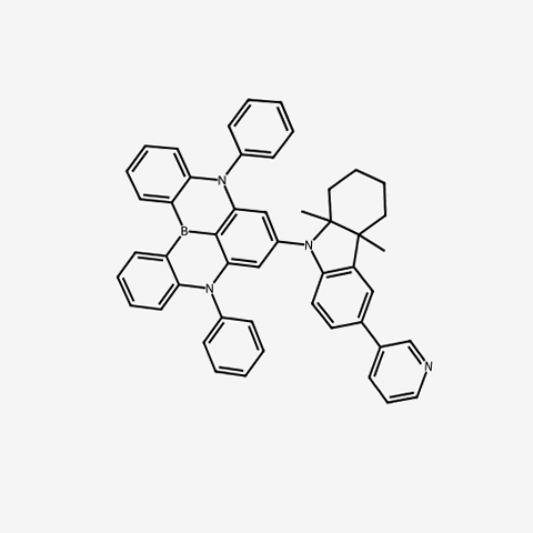 CC12CCCCC1(C)N(c1cc3c4c(c1)N(c1ccccc1)c1ccccc1B4c1ccccc1N3c1ccccc1)c1ccc(-c3cccnc3)cc12